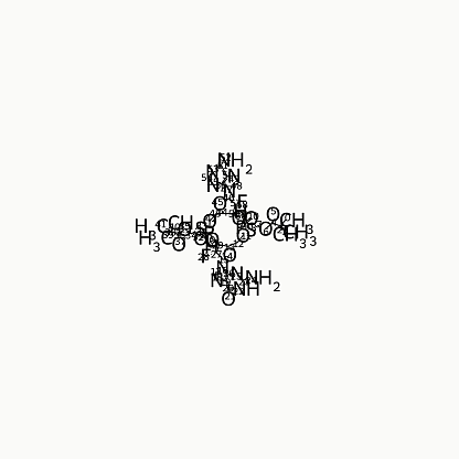 CC(C)(C)C(=O)OCSP1(=O)OCC2OC(n3cnc4c(=O)[nH]c(N)nc43)[C@H](F)[C@@H]2OP(=O)(SCOC(=O)C(C)(C)C)OCC2OC(n3cnc4c(N)ncnc43)[C@H](F)[C@@H]2O1